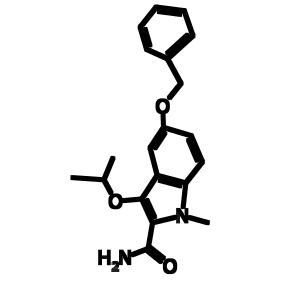 CC(C)Oc1c(C(N)=O)n(C)c2ccc(OCc3ccccc3)cc12